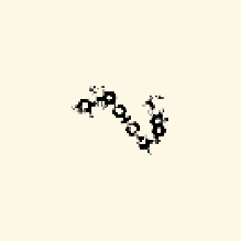 CNC(=O)COc1cc2cc(Nc3nc(N4CCN(C(C)(C)C5CCN(c6ccc(OC)c(C(=O)NC7CCC(=O)NC7=O)c6F)CC5)CC4)ncc3Cl)ccc2n(C)c1=O